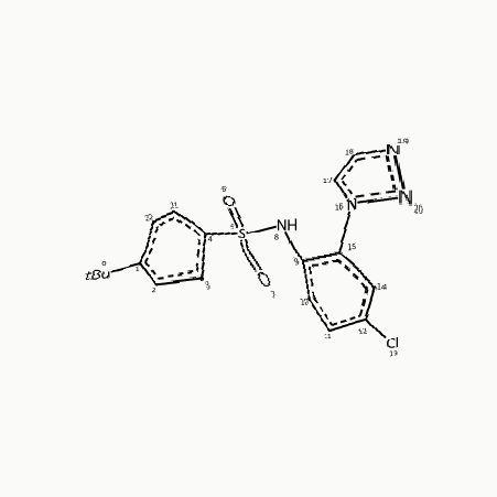 CC(C)(C)c1ccc(S(=O)(=O)Nc2ccc(Cl)cc2-n2ccnn2)cc1